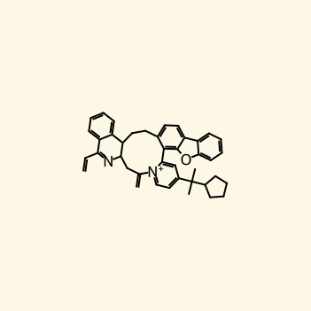 C=CC1=NC2CC(=C)[n+]3ccc(C(C)(C)C4CCCC4)cc3-c3c(ccc4c3oc3ccccc34)CCC2c2ccccc21